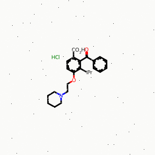 CC(C)c1c(OCCN2CCCCC2)ccc(C(=O)O)c1C(=O)c1ccccc1.Cl